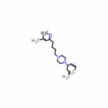 C=CCC(/C=C\C)N1CCN(CCCC/C(C=C(C)C)=N/C)CC1